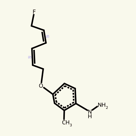 Cc1cc(OC/C=C\C=C/CF)ccc1NN